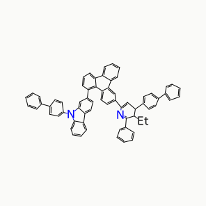 CCC1C(c2ccccc2)=NC(c2ccc3c(c2)c2ccccc2c2cccc(-c4ccc5c6ccccc6n(-c6ccc(-c7ccccc7)cc6)c5c4)c23)=CC1c1ccc(-c2ccccc2)cc1